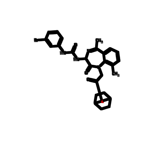 CC1=NC(NC(=O)Nc2cccc(Br)c2)C(=O)N(CC(=O)N2CC3CCC(CC3)C2)c2c(C)cccc21